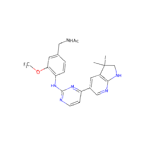 CC(=O)NCc1ccc(Nc2nccc(-c3cnc4c(c3)C(C)(C)CN4)n2)c(OC(F)(F)F)c1